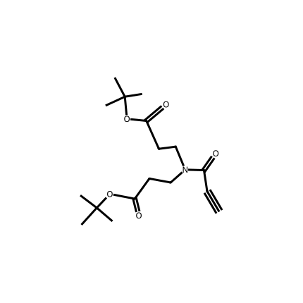 C#CC(=O)N(CCC(=O)OC(C)(C)C)CCC(=O)OC(C)(C)C